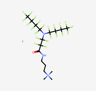 C[N+](C)(C)CCCNC(=O)C(F)(F)C(F)(F)N(C(F)(F)C(F)(F)C(F)(F)C(F)(F)F)C(F)(F)C(F)(F)C(F)(F)C(F)(F)F.[I-]